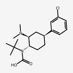 CN(C)[C@H]1C[C@@H](c2cccc(Cl)c2)CC[C@@H]1N(C(=O)O)C(C)(C)C